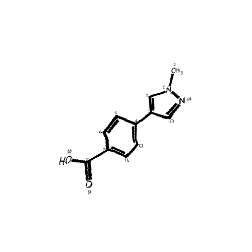 Cn1cc(-c2ccc(C(=O)O)cc2)cn1